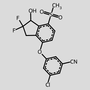 CS(=O)(=O)c1ccc(Oc2cc(Cl)cc(C#N)c2)c2c1C(O)C(F)(F)C2